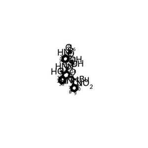 CC(C)(C)CCC1(NCc2ccccc2[N+](=O)[O-])C(=O)C(C2=NS(O)(O)c3cc(NS(C)(=O)=O)ccc3N2)=C(O)c2ccccc21